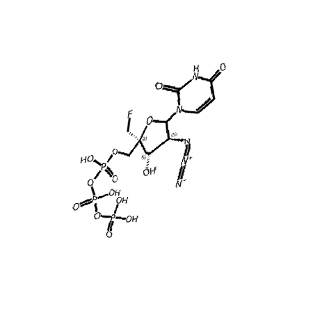 [N-]=[N+]=N[C@@H]1C(n2ccc(=O)[nH]c2=O)O[C@](CF)(COP(=O)(O)OP(=O)(O)OP(=O)(O)O)[C@H]1O